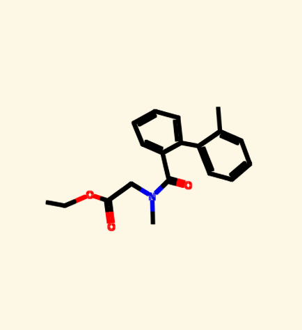 CCOC(=O)CN(C)C(=O)c1ccccc1-c1ccccc1C